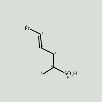 CCC=CCC(C)S(=O)(=O)O